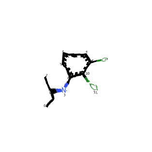 CC(C)[N]c1cccc(Cl)c1Cl